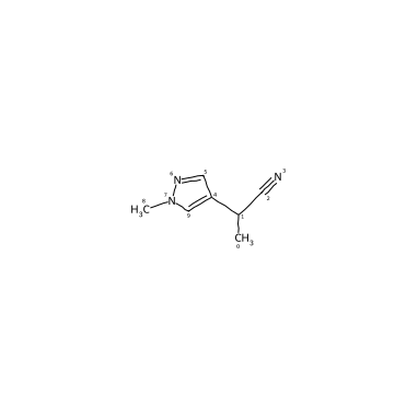 CC(C#N)c1cnn(C)c1